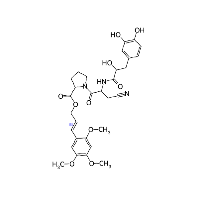 COc1cc(OC)c(OC)cc1/C=C/COC(=O)C1CCCN1C(=O)C(CC#N)NC(=O)C(O)Cc1ccc(O)c(O)c1